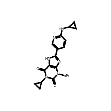 CCCn1c(=O)n(C2CC2)c(=O)c2[nH]c(-c3ccc(NC4CC4)nc3)nc21